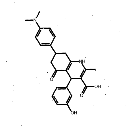 CC1=C(C(=O)O)C(c2cccc(O)c2)C2=C(CC(c3ccc(N(C)C)cc3)CC2=O)N1